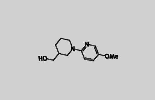 COc1ccc(N2CCCC(CO)C2)nc1